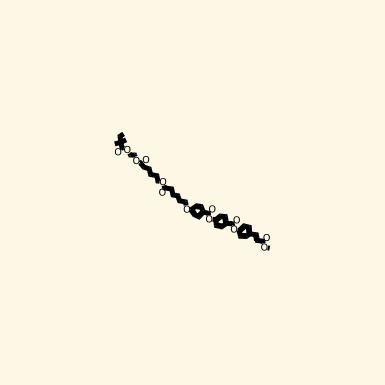 CCC(C)(C)C(=O)OCCOC(=O)CCCCCOC(=O)CCCCCOc1ccc(C(=O)Oc2ccc(C(=O)Oc3ccc(/C=C/C(=O)OC)cc3)cc2)cc1